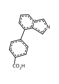 O=C(O)c1ccc(-c2cccn3cncc23)cc1